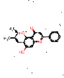 C=CC(C)=Cc1c(O)cc2oc(-c3ccccc3)cc(=O)c2c1O